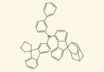 c1ccc(-c2cccc(N(c3ccc4c(c3)C3(CCCC3)c3ccccc3-4)c3cccc4c3-c3ccccc3C43C4CC5CC(C4)CC3C5)c2)cc1